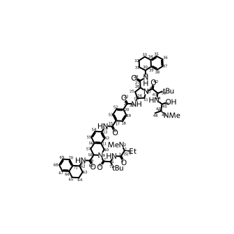 CC[C@H](NC)C(=O)NC(C(=O)N1Cc2cc(NC(=O)c3ccc(C(=O)N[C@H]4CC(C(=O)NC5CCCc6ccccc65)N(C(=O)C(NC(O)[C@H](C)NC)C(C)(C)C)C4)cc3)ccc2CC1C(=O)NC1CCCc2ccccc21)C(C)(C)C